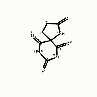 O=C1CCC2(N1)C(=O)NC(=O)NC2=O